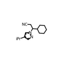 CC(C)c1cnn(C(CC#N)C2CCCCC2)c1